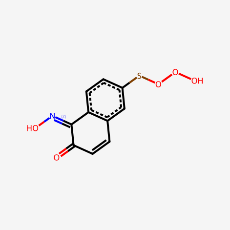 O=C1C=Cc2cc(SOOO)ccc2/C1=N/O